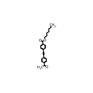 CCCCCCCOC(=O)c1ccc(C#Cc2ccc(C(C)=O)cc2)cc1